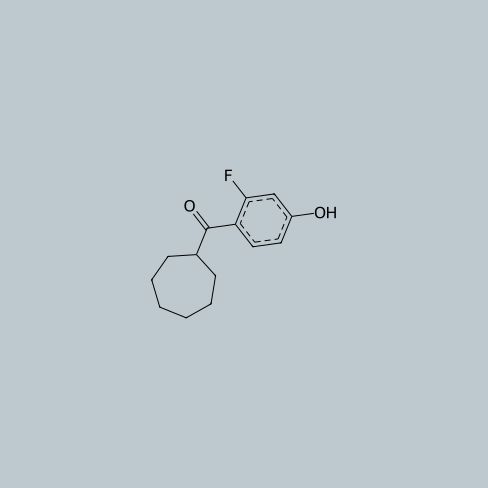 O=C(c1ccc(O)cc1F)C1CCCCCC1